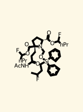 CCCC(F)OC(=O)[C@H]1CC[C@@](CCC(=O)NC(C)=O)(C(=O)OC(F)CCC)N1CO[Si](CCC(C)F)(c1ccccc1)c1ccccc1